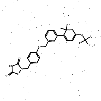 CC1(C)CC(OC(F)(F)C(=O)O)=CC=C1c1cccc(COc2ccc(Cn3oc(=O)[nH]c3=O)cc2)c1